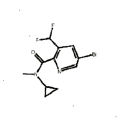 CN(C(=O)c1ncc(Br)cc1C(F)F)C1CC1